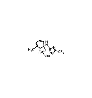 CCCCC(=O)O[C@]1(Nc2nc(C(F)(F)F)cs2)C=CC=C(C)C1=O